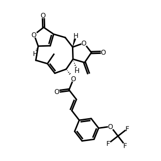 C=C1C(=O)O[C@H]2CC3=C[C@@H](C/C(C)=C/[C@@H](OC(=O)/C=C/c4cccc(OC(F)(F)F)c4)[C@H]12)OC3=O